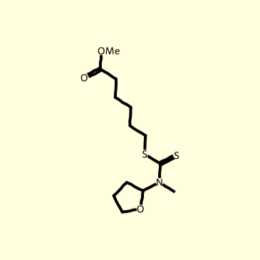 COC(=O)CCCCCSC(=S)N(C)C1CCCO1